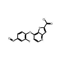 O=Nc1ccc(Oc2ccnc3cc(C(=O)Cl)sc23)c(F)c1